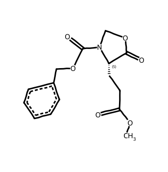 COC(=O)CC[C@H]1C(=O)OCN1C(=O)OCc1ccccc1